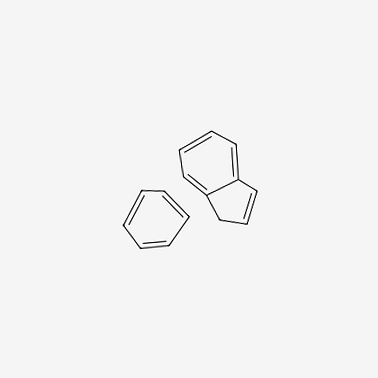 C1=Cc2ccccc2C1.c1ccccc1